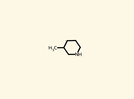 CC1[CH]CCNC1